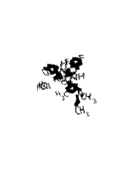 CCCCN(C)Cc1cc(C)cc(C(=O)N[C@@H](Cc2cc(F)cc(F)c2)[C@@H](O)CNC2(c3cccc(CC)c3)CC2)c1.Cl.Cl